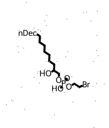 CCCCCCCCCCCCCCCCCC(O)COP(=O)(O)OCCBr